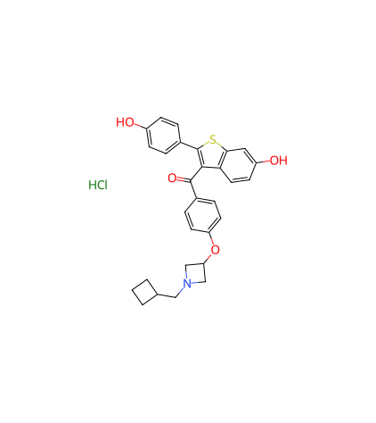 Cl.O=C(c1ccc(OC2CN(CC3CCC3)C2)cc1)c1c(-c2ccc(O)cc2)sc2cc(O)ccc12